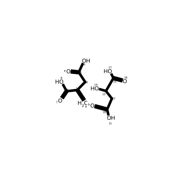 C=C(CC(=O)O)C(=O)O.O=C(O)CC(O)C(=O)O